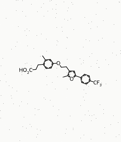 Cc1cc(OCCc2cc(-c3ccc(C(F)(F)F)cc3)oc2C)ccc1CCC(=O)O